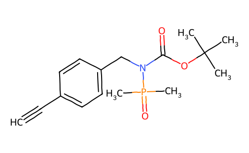 C#Cc1ccc(CN(C(=O)OC(C)(C)C)P(C)(C)=O)cc1